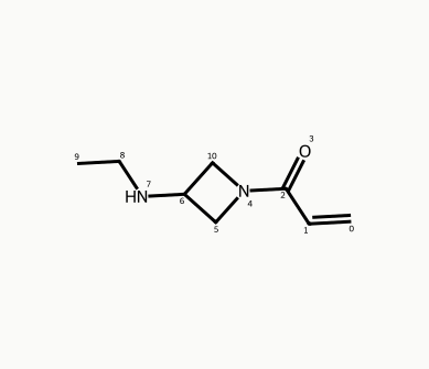 C=CC(=O)N1CC(NCC)C1